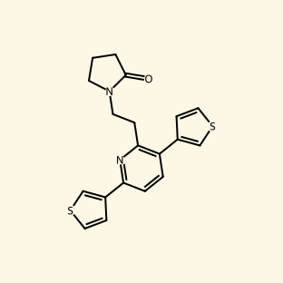 O=C1CCCN1CCc1nc(-c2ccsc2)ccc1-c1ccsc1